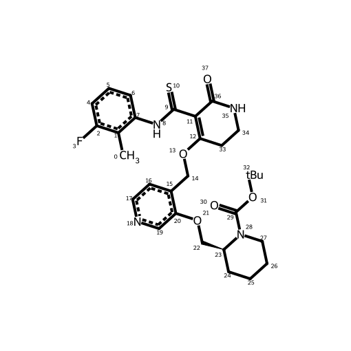 Cc1c(F)cccc1NC(=S)C1=C(OCc2ccncc2OC[C@@H]2CCCCN2C(=O)OC(C)(C)C)CCNC1=O